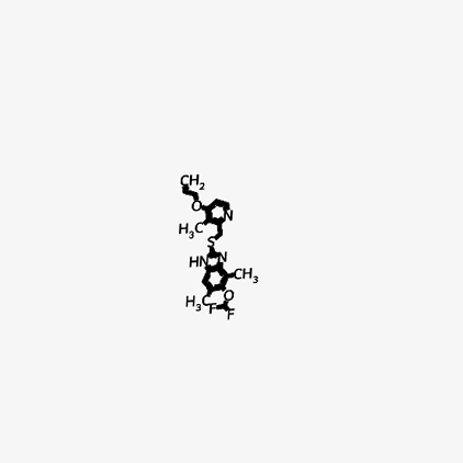 C=CCOc1ccnc(CSc2nc3c(C)c(OC(F)F)c(C)cc3[nH]2)c1C